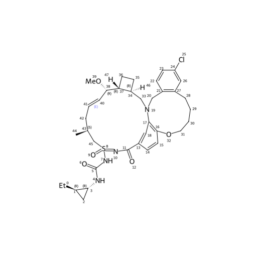 CC[C@@H]1C[C@H]1NC(=O)NS1(=O)=NC(=O)c2ccc3c(c2)N(Cc2ccc(Cl)cc2CCCCO3)C[C@@H]2CC[C@H]2[C@@H](OC)/C=C/C[C@H](C)C1